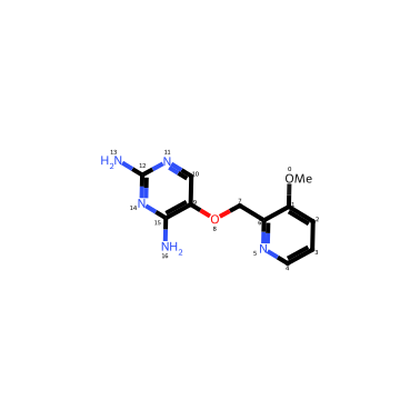 COc1cccnc1COc1cnc(N)nc1N